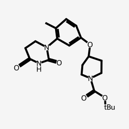 Cc1ccc(OC2CCN(C(=O)OC(C)(C)C)CC2)cc1N1CCC(=O)NC1=O